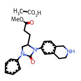 CC(=O)O.COC(=O)CCC1CN(c2ccccc2)C(=O)N1c1ccc2c(c1)CCNC2